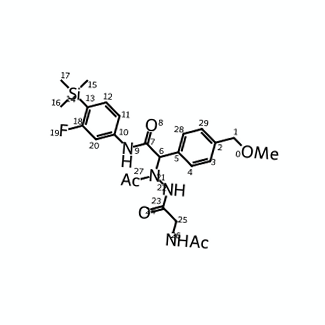 COCc1ccc(C(C(=O)Nc2ccc([Si](C)(C)C)c(F)c2)N(NC(=O)CNC(C)=O)C(C)=O)cc1